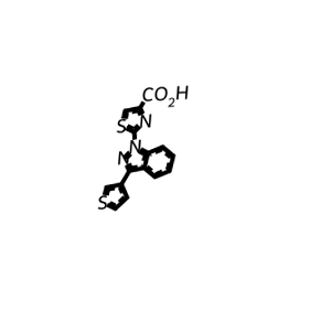 O=C(O)c1csc(-n2nc(-c3ccsc3)c3ccccc32)n1